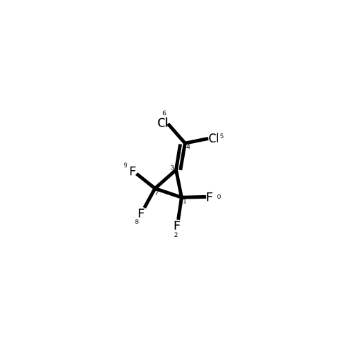 FC1(F)C(=C(Cl)Cl)C1(F)F